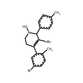 CCCCC1=C(c2cc(Br)ccc2C)CCN(O)C1c1ccc(C)cc1